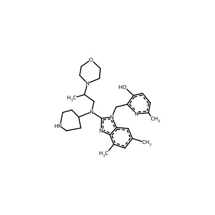 Cc1cc(C)c2nc(N(CC(C)N3CCOCC3)C3CCNCC3)n(Cc3nc(C)ccc3O)c2c1